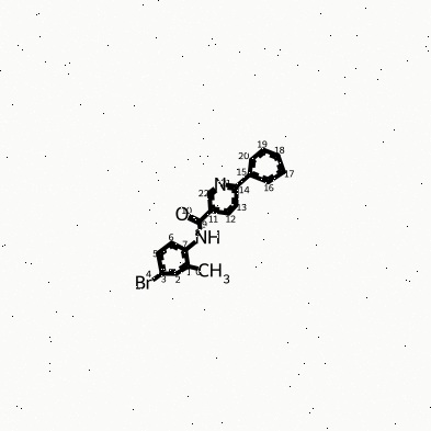 Cc1cc(Br)ccc1NC(=O)c1ccc(-c2ccccc2)nc1